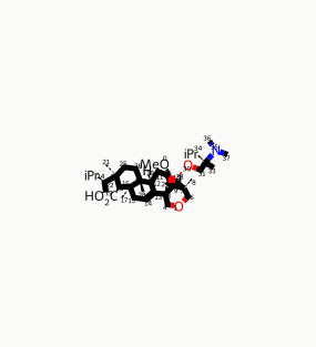 CO[C@@H]1C[C@@]23COC[C@@](C)([C@@H]2CC[C@H]2C3=CC[C@@]3(C)[C@H](C(=O)O)[C@@](C)([C@H](C)C(C)C)CC[C@]23C)[C@H]1OC[C@@](C)(C(C)C)N(C)C